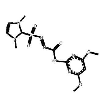 COc1cc(OC)nc(NC(=O)N=NS(=O)(=O)C2N(C)C=CN2C)n1